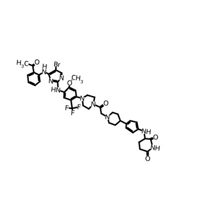 COc1cc(N2CCN(C(=O)CN3CCC(c4ccc(NC5CCC(=O)NC5=O)cc4)CC3)CC2)c(C(F)(F)F)cc1Nc1ncc(Br)c(Nc2ccccc2C(C)=O)n1